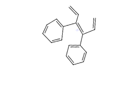 C=C/C(=C(\C=C)c1ccccc1)c1ccccc1